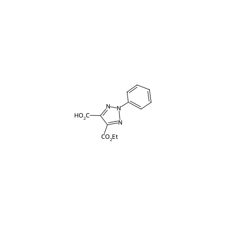 CCOC(=O)c1nn(-c2ccccc2)nc1C(=O)O